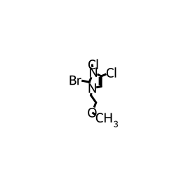 COCCN1C=C(Cl)N(Cl)C1Br